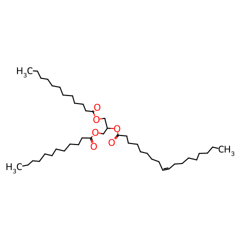 CCCCCCCC/C=C\CCCCCCCC(=O)OC(COC(=O)CCCCCCCCCCC)COC(=O)CCCCCCCCCCC